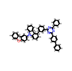 c1ccc(-c2ccc(-c3nc(-c4ccccc4)nc(-c4cccc(-c5cccc6c5c5ccccc5n6-c5ccc6oc7ccccc7c6c5)c4)n3)cc2)cc1